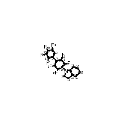 Fc1cc(-c2c(F)c(F)c(N3CCc4ccccc43)c(F)c2F)c(F)c(F)c1F